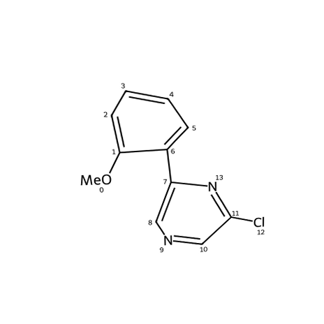 COc1ccccc1-c1cncc(Cl)n1